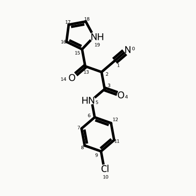 N#CC(C(=O)Nc1ccc(Cl)cc1)C(=O)c1ccc[nH]1